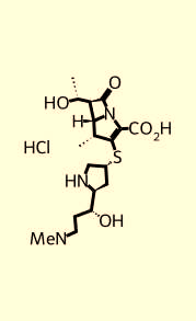 CNCC[C@@H](O)[C@@H]1C[C@@H](SC2=C(C(=O)O)N3C(=O)[C@H]([C@@H](C)O)[C@H]3[C@H]2C)CN1.Cl